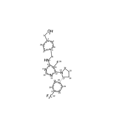 OCc1ccc(CNc2ncnc(N3CCC[C@@H]3c3ccc(C(F)(F)F)cc3)c2F)cc1